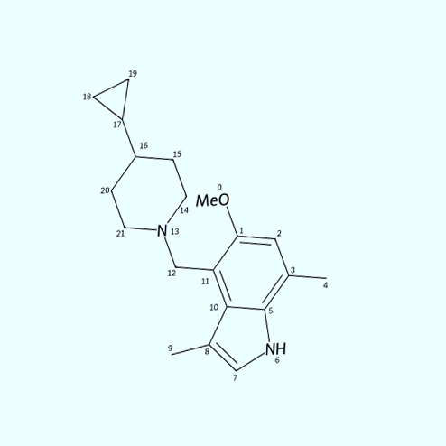 COc1cc(C)c2[nH]cc(C)c2c1CN1CCC(C2CC2)CC1